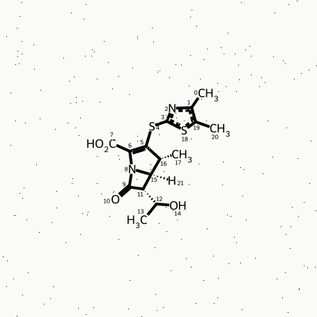 Cc1nc(SC2=C(C(=O)O)N3C(=O)[C@@H](C(C)O)[C@@H]3[C@H]2C)sc1C